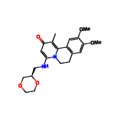 COc1cc2c(cc1OC)-c1c(C)c(=O)cc(NC[C@@H]3COCCO3)n1CC2